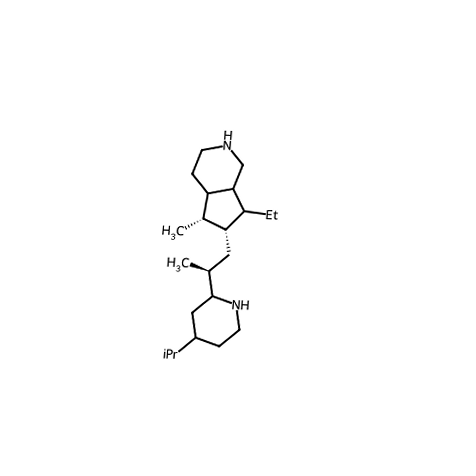 CCC1C2CNCCC2[C@@H](C)[C@H]1C[C@H](C)C1CC(C(C)C)CCN1